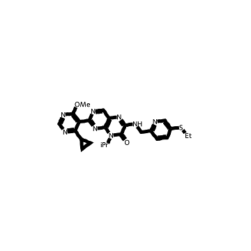 CCSc1ccc(CNc2nc3cnc(-c4c(OC)ncnc4C4CC4)nc3n(C(C)C)c2=O)nc1